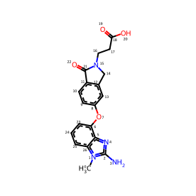 Cn1c(N)nc2c(Oc3ccc4c(c3)CN(CCC(=O)O)C4=O)cccc21